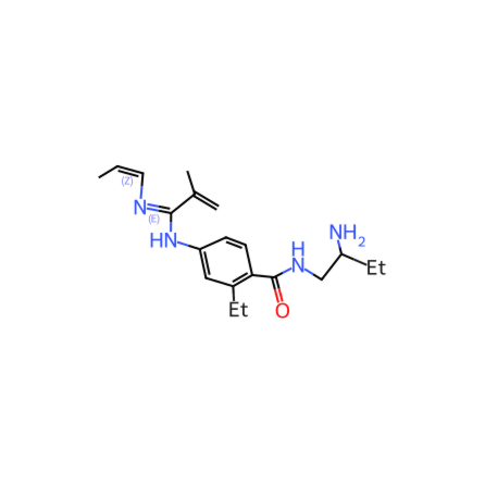 C=C(C)/C(=N\C=C/C)Nc1ccc(C(=O)NCC(N)CC)c(CC)c1